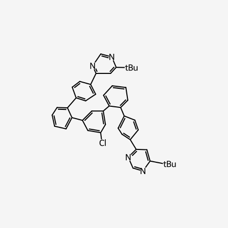 CC(C)(C)c1cc(-c2ccc(-c3ccccc3-c3cc(Cl)cc(-c4ccccc4-c4ccc(-c5cc(C(C)(C)C)ncn5)cc4)c3)cc2)ncn1